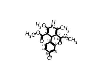 COC(=O)C1=C(C)NC(C)=C(C(=O)OC)C1c1ccc(Cl)cc1